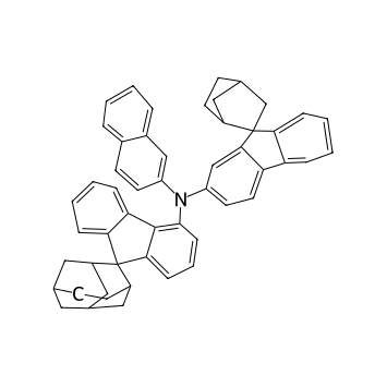 c1ccc2c(c1)-c1ccc(N(c3ccc4ccccc4c3)c3cccc4c3-c3ccccc3C43C4CCC5CC(C4)CC3C5)cc1C21CC2CCC1C2